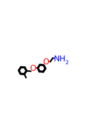 Cc1ccccc1COc1cccc(OCCN)c1